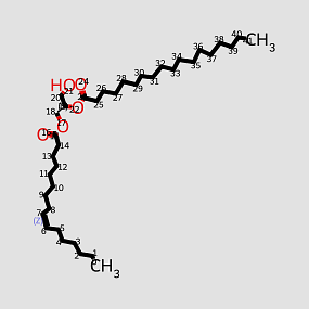 CCCCCC/C=C\CCCCCCCC(=O)OC[C@H](CO)OC(=O)CCCCCCCCCCCCCCCCC